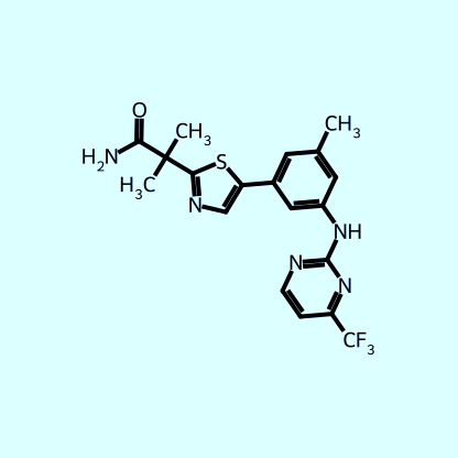 Cc1cc(Nc2nccc(C(F)(F)F)n2)cc(-c2cnc(C(C)(C)C(N)=O)s2)c1